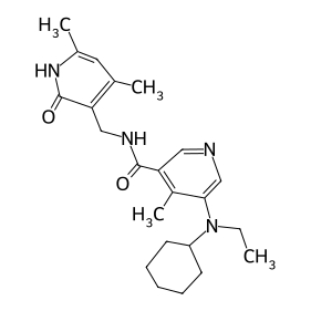 CCN(c1cncc(C(=O)NCc2c(C)cc(C)[nH]c2=O)c1C)C1CCCCC1